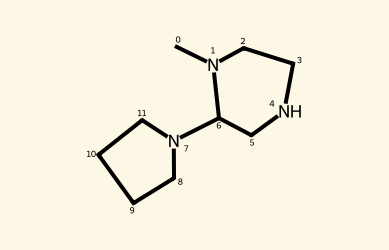 CN1CCNCC1N1CCCC1